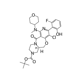 CN(c1nc(-c2c(O)cccc2F)c(Cl)c2c1C(=O)N1CCN(C(=O)OC(C)(C)C)C[C@@H]1CO2)C1CCOCC1